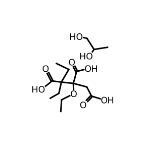 CC(O)CO.CCOC(CC(=O)O)(C(=O)O)C(CC)(CC)C(=O)O